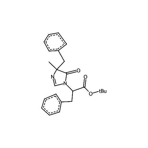 CC(C)(C)OC(=O)C(Cc1ccccc1)N1C=NC(C)(Cc2ccccc2)C1=O